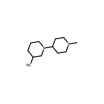 CN1CCC(N2CCCC(C#N)C2)CC1